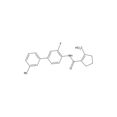 N#Cc1cccc(-c2ccc(NC(=O)C3=C(C(=O)O)CCC3)c(F)c2)c1